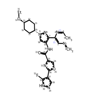 C=N/C=C(\N=C/C)c1nn([C@H]2CC[C@H](OCC)CC2)cc1NC(=O)c1coc(-c2cn[nH]c2F)n1